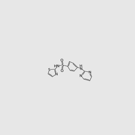 O=S(=O)(Nc1nccs1)c1ccc(Nc2ncccn2)cc1